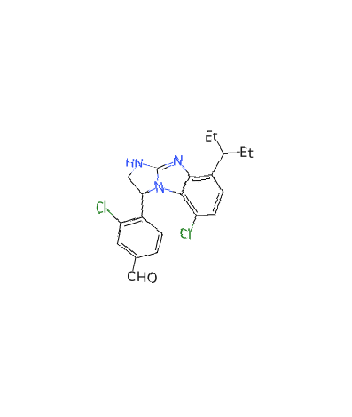 CCC(CC)c1ccc(Cl)c2c1nc1n2C(c2ccc(C=O)cc2Cl)CN1